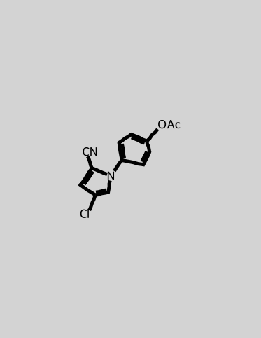 CC(=O)Oc1ccc(-n2cc(Cl)cc2C#N)cc1